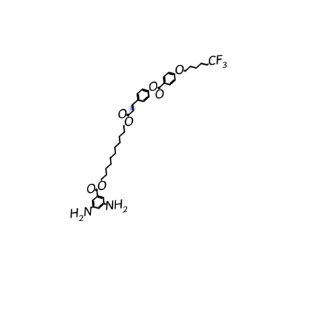 Nc1cc(N)cc(C(=O)OCCCCCCCCCCCOC(=O)/C=C/c2ccc(OC(=O)c3ccc(OCCCCCC(F)(F)F)cc3)cc2)c1